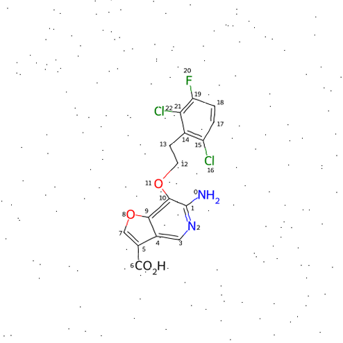 Nc1ncc2c(C(=O)O)coc2c1OCCc1c(Cl)ccc(F)c1Cl